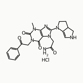 Cl.Cn1c(=O)n(CC(=O)c2ccccc2)c(=O)c2c1nc(N1CCC3CNC=C31)n2CC(N)=O